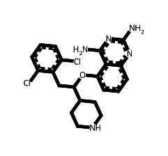 Nc1nc(N)c2c(OC(Cc3c(Cl)cccc3Cl)C3CCNCC3)cccc2n1